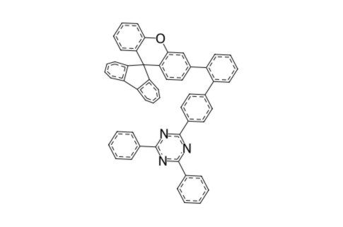 c1ccc(-c2nc(-c3ccccc3)nc(-c3ccc(-c4ccccc4-c4ccc5c(c4)Oc4ccccc4C54c5ccccc5-c5ccccc54)cc3)n2)cc1